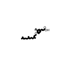 COc1cc(/C=C/C(=O)O)ccc1OC/C=C(\C)CC/C=C(\C)CCC=C(C)C